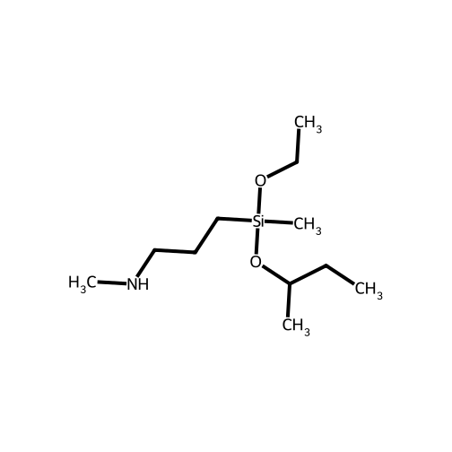 CCO[Si](C)(CCCNC)OC(C)CC